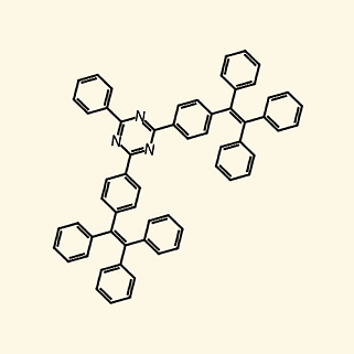 c1ccc(C(=C(c2ccccc2)c2ccc(-c3nc(-c4ccccc4)nc(-c4ccc(C(=C(c5ccccc5)c5ccccc5)c5ccccc5)cc4)n3)cc2)c2ccccc2)cc1